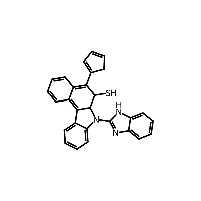 SC1C(C2=CC=CC2)=c2ccccc2=C2c3ccccc3N(c3nc4ccccc4[nH]3)C21